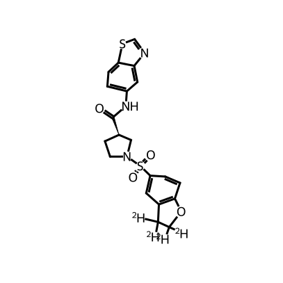 [2H]C1([2H])Oc2ccc(S(=O)(=O)N3CC[C@@H](C(=O)Nc4ccc5scnc5c4)C3)cc2C1([2H])[2H]